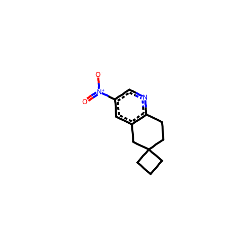 O=[N+]([O-])c1cnc2c(c1)CC1(CCC1)CC2